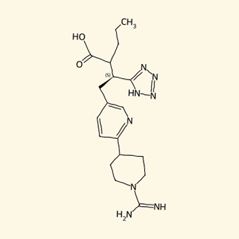 CCCC(C(=O)O)[C@H](Cc1ccc(C2CCN(C(=N)N)CC2)nc1)c1nnn[nH]1